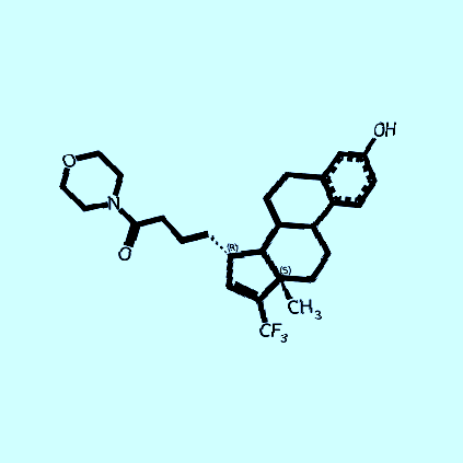 C[C@]12CCC3c4ccc(O)cc4CCC3C1[C@@H](CCCC(=O)N1CCOCC1)C=C2C(F)(F)F